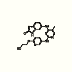 Cc1cnc(Nc2ccc(OCCO)nc2)nc1Nc1ccc2oc(=O)[nH]c2c1